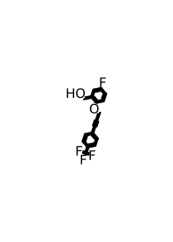 OCc1cc(F)ccc1OCC#Cc1ccc(C(F)(F)F)cc1